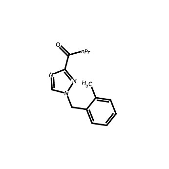 CCCC(=O)c1ncn(Cc2ccccc2C)n1